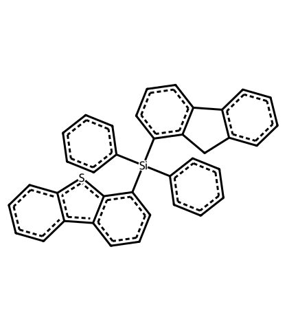 c1ccc([Si](c2ccccc2)(c2cccc3c2Cc2ccccc2-3)c2cccc3c2sc2ccccc23)cc1